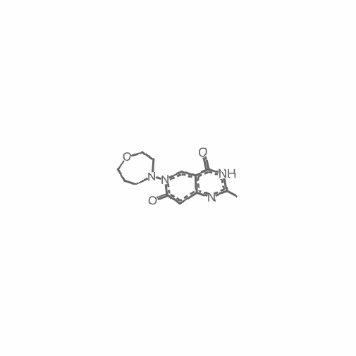 Cc1nc2cc(=O)n(N3CCCOCC3)cc2c(=O)[nH]1